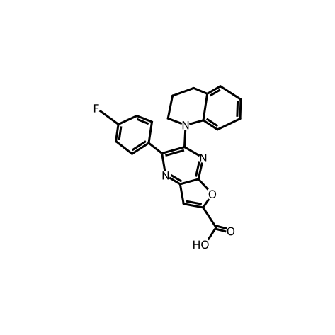 O=C(O)c1cc2nc(-c3ccc(F)cc3)c(N3CCCc4ccccc43)nc2o1